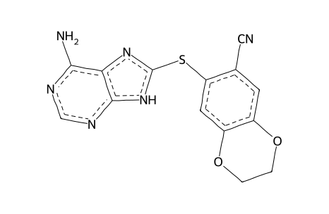 N#Cc1cc2c(cc1Sc1nc3c(N)ncnc3[nH]1)OCCO2